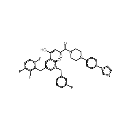 O=C(/C=C(/O)c1cc(Cc2c(F)ccc(F)c2F)cn(Cc2cccc(F)c2)c1=O)C(=O)N1CCN(c2ccc(-n3ccnc3)cc2)CC1